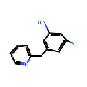 Nc1cc(Cl)cc(Cc2ccccn2)c1